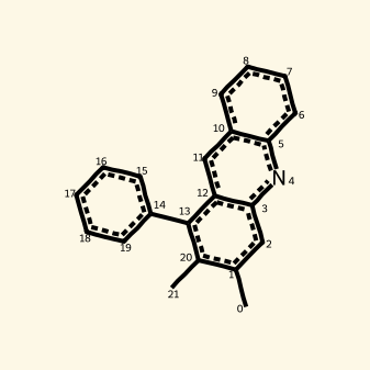 Cc1cc2nc3ccccc3cc2c(-c2ccccc2)c1C